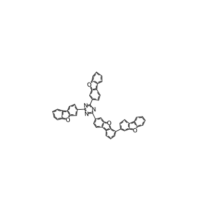 c1ccc2c(c1)oc1cc(-c3nc(-c4ccc5c(c4)oc4ccccc45)nc(-c4ccc5c(c4)oc4c(-c6ccc7c(c6)oc6ccccc67)cccc45)n3)ccc12